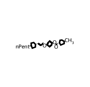 CCCCC[C@H]1CC[C@H](/C=C/COc2ccc(OC(=O)[C@H]3CC[C@H](C)CC3)cc2)CC1